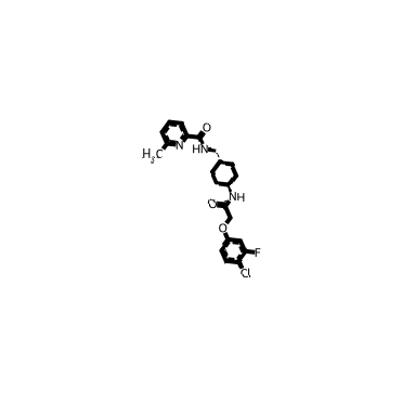 Cc1cccc(C(=O)NC[C@H]2CC[C@H](NC(=O)COc3ccc(Cl)c(F)c3)CC2)n1